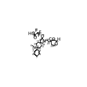 CN(C)[C@]1(c2ccccc2)CC[C@@]2(CC1)CC(=O)N(CCC1(C(=O)O)CCOCC1)C2.O=C(O)C(F)(F)F